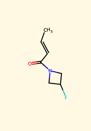 CC=CC(=O)N1CC(F)C1